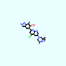 Cc1c(O)c(-c2cc(Cl)c3cc(N4C[C@H](C)NC5(CC5)C4)cnc3n2)cc2cn(C)nc12